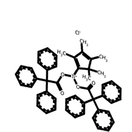 CC1=C(C)C(C)(C)[C]([Ti+]([O]C(=O)C(c2ccccc2)(c2ccccc2)c2ccccc2)[O]C(=O)C(c2ccccc2)(c2ccccc2)c2ccccc2)=C1C.[Cl-]